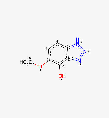 O=C(O)Oc1ccc2[nH]nnc2c1O